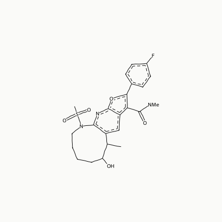 CNC(=O)c1c(-c2ccc(F)cc2)oc2nc3c(cc12)C(C)C(O)CCCCN3S(C)(=O)=O